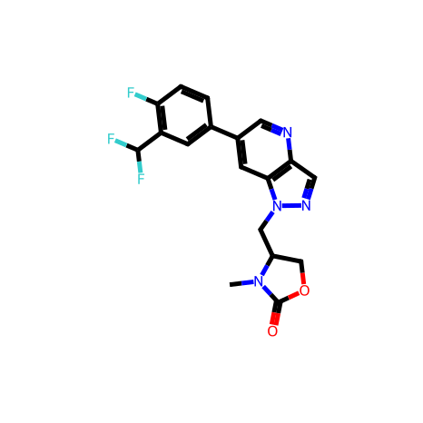 CN1C(=O)OCC1Cn1ncc2ncc(-c3ccc(F)c(C(F)F)c3)cc21